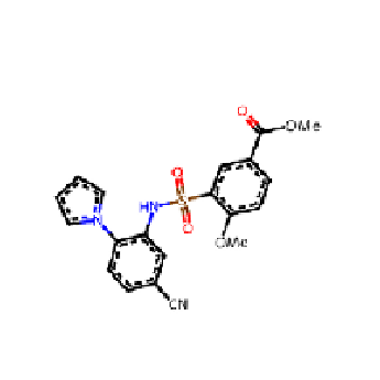 COC(=O)c1ccc(OC)c(S(=O)(=O)Nc2cc(C#N)ccc2-n2cccc2)c1